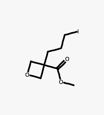 COC(=O)C1(CCCI)COC1